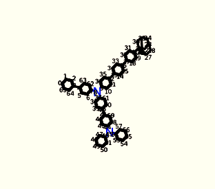 c1ccc(-c2ccc(N(c3ccc(-c4ccc(-c5ccc(C67CC8CC(CC(C8)C6)C7)cc5)cc4)cc3)c3ccc(-c4ccc(N(c5ccccc5)c5ccccc5)cc4)cc3)cc2)cc1